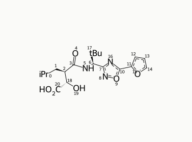 CC(C)C[C@@H](C(=O)N[C@H](c1noc(-c2ccco2)n1)C(C)(C)C)[C@H](O)C(=O)O